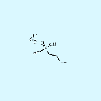 CCCCP(=O)(O)O.[C].[C].[C]